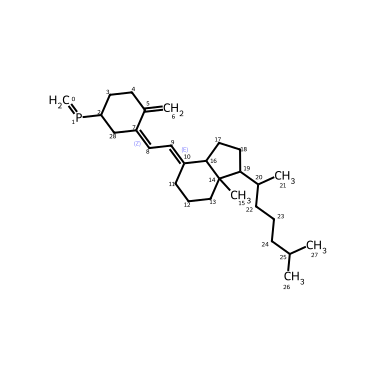 C=PC1CCC(=C)/C(=C\C=C2/CCCC3(C)C2CCC3C(C)CCCC(C)C)C1